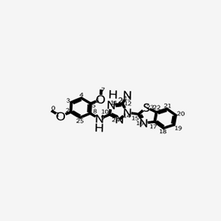 COc1ccc(OC)c(Nc2nc(N)n(-c3nc4ccccc4s3)n2)c1